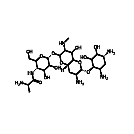 CNC1C(O[C@H]2OC(CO)[C@@H](NC(=O)[C@@H](C)N)C(O)C2O)O[C@H]2CC(N)[C@@H](O[C@@H]3C(N)C[C@@H](N)C(O)C3O)OC2C1O